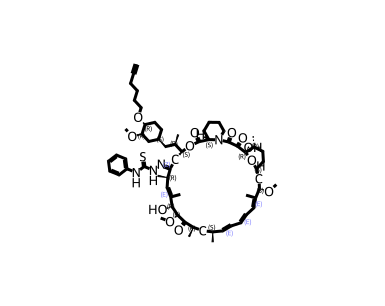 C#CCCCCO[C@@H]1CC[C@@H](C[C@@H](C)[C@@H]2C/C(=N/NC(=S)Nc3ccccc3)[C@H](C)/C=C(\C)[C@@H](O)[C@@H](OC)C(=O)[C@H](C)C[C@H](C)/C=C/C=C/C=C(\C)[C@@H](OC)C[C@@H]3CC[C@@H](C)[C@@](O)(O3)C(=O)C(=O)N3CCCC[C@H]3C(=O)O2)C[C@H]1OC